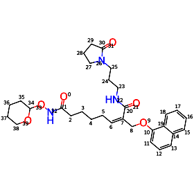 O=C(CCCCC=C(COc1cccc2ccccc12)C(=O)NCCCN1CCCC1=O)NOC1CCCCO1